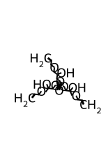 C=CCOCC(O)COP(=O)(OCC(O)COCC=C)OCC(O)COCC=C